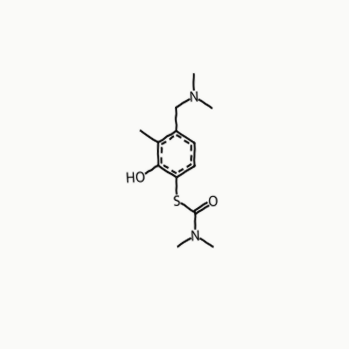 Cc1c(CN(C)C)ccc(SC(=O)N(C)C)c1O